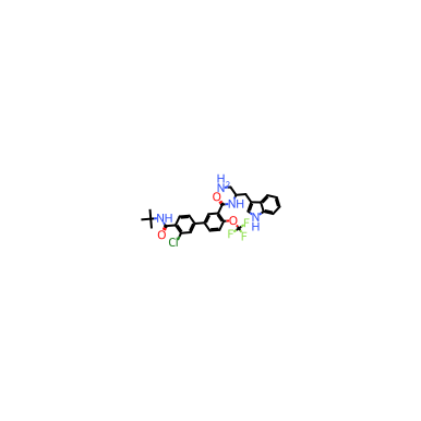 CC(C)(C)NC(=O)c1ccc(-c2ccc(OC(F)(F)F)c(C(=O)NC(CN)Cc3c[nH]c4ccccc34)c2)cc1Cl